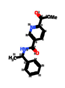 COC(=O)c1ccc(C(=O)NC(C)c2ccccc2)cn1